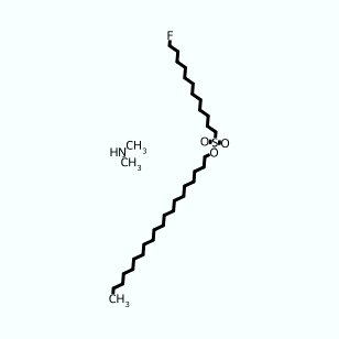 CCCCCCCCCCCCCCCCCCCCOS(=O)(=O)CCCCCCCCCCCCF.CNC